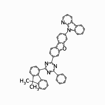 CC1(C)c2ccccc2-c2c(-c3nc(-c4ccccc4)nc(-c4ccc5c(c4)oc4cc(-n6c7ccccc7c7cccnc76)ccc45)n3)cccc21